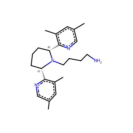 Cc1cnc([C@H]2CCC[C@@H](c3ncc(C)cc3C)N2CCCCN)c(C)c1